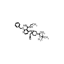 CCNC(=N)c1c(NC2(CC#N)CCN(C(=O)OC(C)(C)C)CC2)ccnc1OCc1ccccc1